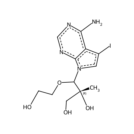 C[C@@](O)(CO)C(OCCO)n1cc(I)c2c(N)ncnc21